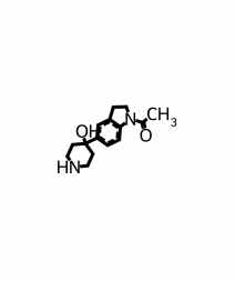 CC(=O)N1CCc2cc(C3(O)CCNCC3)ccc21